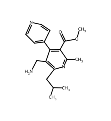 COC(=O)c1c(C)nc(CC(C)C)c(CN)c1-c1ccncc1